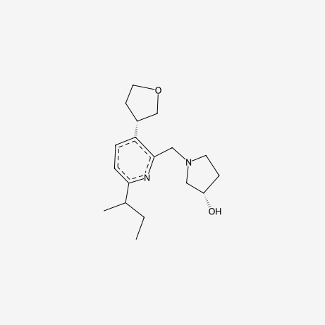 CCC(C)c1ccc([C@@H]2CCOC2)c(CN2CC[C@H](O)C2)n1